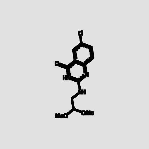 COC(CNc1nc2ccc(Cl)cc2c(=O)[nH]1)OC